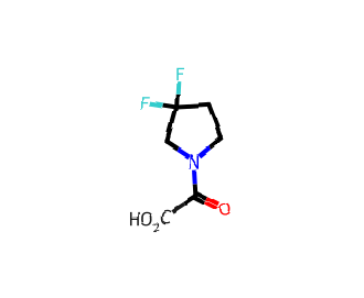 O=C(O)C(=O)N1CCC(F)(F)C1